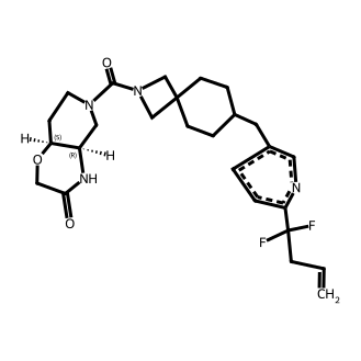 C=CCC(F)(F)c1ccc(CC2CCC3(CC2)CN(C(=O)N2CC[C@@H]4OCC(=O)N[C@@H]4C2)C3)cn1